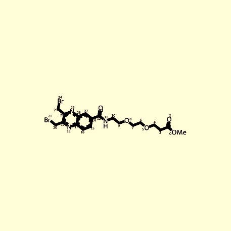 COC(=O)CCOCCOCCNC(=O)c1ccc2nc(CBr)c(CBr)nc2c1